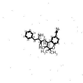 CC1(C)Oc2ccc(C#N)cc2C(NC(=O)[C@H](N)Cc2ccccc2)C1O